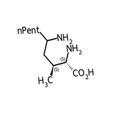 CCCCCC(N)C[C@H](C)[C@H](N)C(=O)O